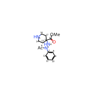 COC(=O)C1(NN(C(C)=O)c2ccccc2)CCNCC1